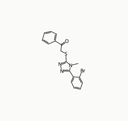 Cn1c(SCC(=O)c2ccccc2)nnc1-c1ccccc1Br